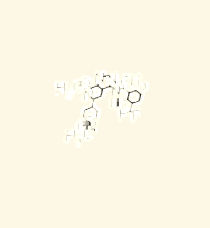 CN=S1(=O)CC=C(c2cc3c(N[C@H](C)c4cccc(C(F)F)c4F)ncnc3c(OC)n2)CC1